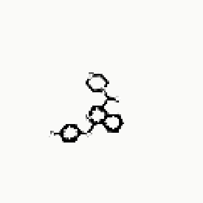 O=C(c1cnc(Oc2ccc(F)cc2)c2ccccc12)N1CCOCC1